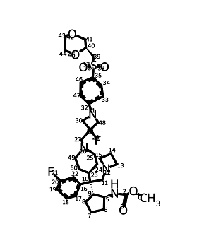 COC(=O)N[C@H]1CCC[C@@H]1C(CN1CCC1)(c1cccc(F)c1)C1CCN(CC2(F)CN(c3ccc(S(=O)(=O)C[C@@H]4COCCO4)cc3)C2)CC1